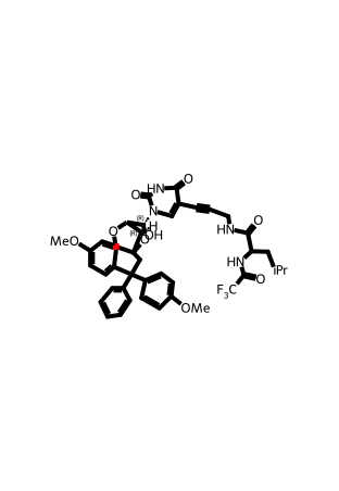 COc1ccc(C(CC23COC([C@H](n4cc(C#CCNC(=O)C(CC(C)C)NC(=O)C(F)(F)F)c(=O)[nH]c4=O)O2)[C@H]3O)(c2ccccc2)c2ccc(OC)cc2)cc1